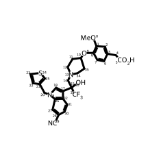 COc1cc(CC(=O)O)ccc1OC1CCN(CC(O)(c2cn(Cc3ccsc3)c3cc(C#N)ccc23)C(F)(F)F)CC1